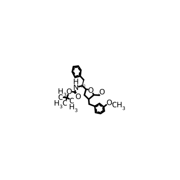 COc1cccc(CC2CC([C@H](Cc3ccccc3)NC(=O)OC(C)(C)C)OC2C=O)c1